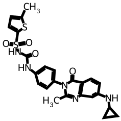 Cc1ccc(S(=O)(=O)NC(=O)Nc2ccc(-n3c(C)nc4cc(NC5CC5)ccc4c3=O)cc2)s1